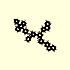 c1ccc(-c2c3ccccc3c(-c3ccc(-n4c5ccccc5c5cc(-c6cc(-c7ccc8c(ccc9ccccc98)c7)cc7c6sc6ccc(-c8ccc9c(ccc%10ccccc%109)c8)cc67)ccc54)cc3)c3ccccc23)cc1